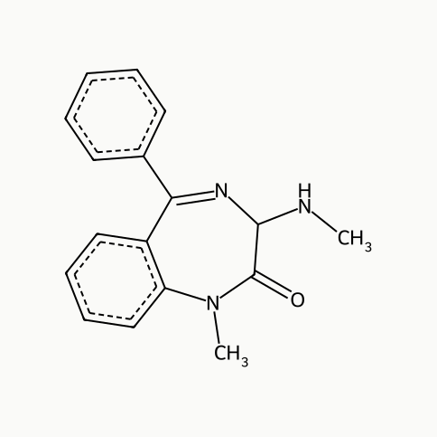 CNC1N=C(c2ccccc2)c2ccccc2N(C)C1=O